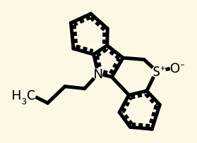 CCCCn1c2c(c3ccccc31)C[S+]([O-])c1ccccc1-2